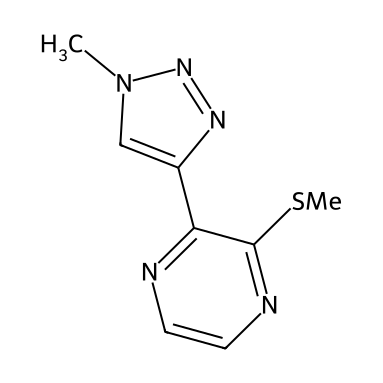 CSc1nccnc1-c1cn(C)nn1